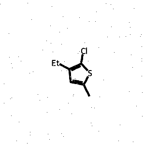 CCc1cc(C)sc1Cl